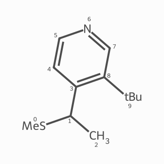 CSC(C)c1ccncc1C(C)(C)C